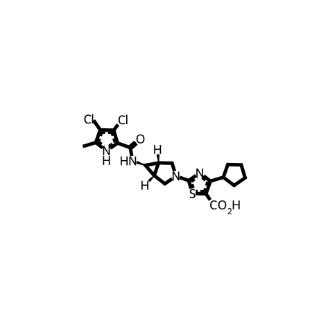 Cc1[nH]c(C(=O)N[C@H]2[C@@H]3CN(c4nc(C5CCCC5)c(C(=O)O)s4)C[C@@H]32)c(Cl)c1Cl